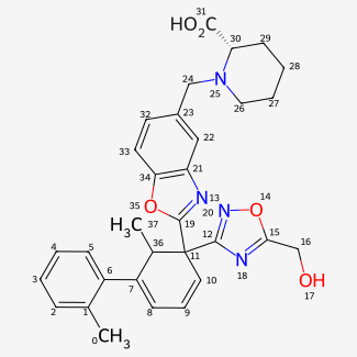 Cc1ccccc1C1=CC=CC(c2noc(CO)n2)(c2nc3cc(CN4CCCC[C@H]4C(=O)O)ccc3o2)C1C